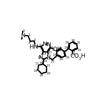 CN(C)CCCNc1nnc(O)c2c1nc(C1CCCCC1)n2Cc1ccc(-c2ccccc2C(=O)O)cc1